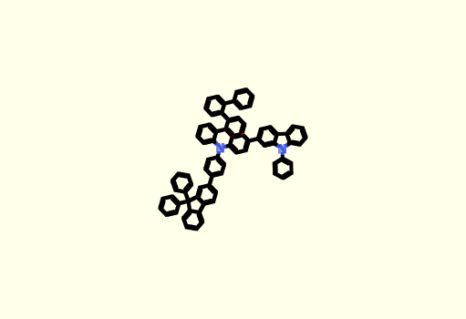 c1ccc(-c2ccccc2-c2ccccc2-c2ccccc2N(c2ccc(-c3ccc4c(c3)C(c3ccccc3)(c3ccccc3)c3ccccc3-4)cc2)c2ccc(-c3ccc4c5ccccc5n(-c5ccccc5)c4c3)cc2)cc1